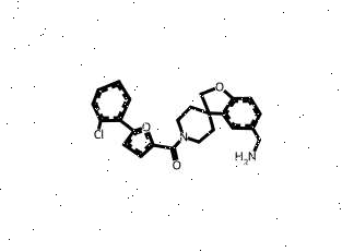 NCc1ccc2c(c1)C1(CCN(C(=O)c3ccc(-c4ccccc4Cl)o3)CC1)CO2